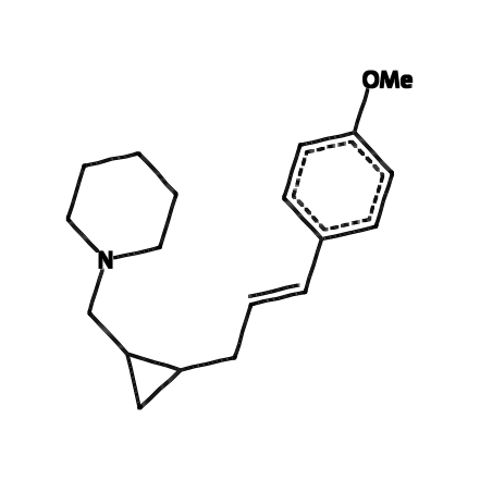 COc1ccc(/C=C/CC2CC2CN2CCCCC2)cc1